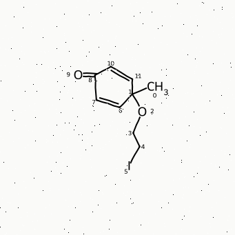 CC1(OCCI)C=CC(=O)C=C1